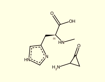 CN[C@@H](Cc1c[nH]cn1)C(=O)O.NC1CC1=O